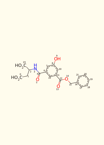 O=C(O)CC(NC(=O)c1cc(O)cc(C(=O)OCc2ccccc2)c1)C(=O)O